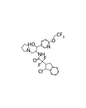 O=C(NC(CN1CCCC1)C(O)c1ccc(OCC(F)(F)F)nc1)C(F)(F)C1Cc2ccccc2C1Cl